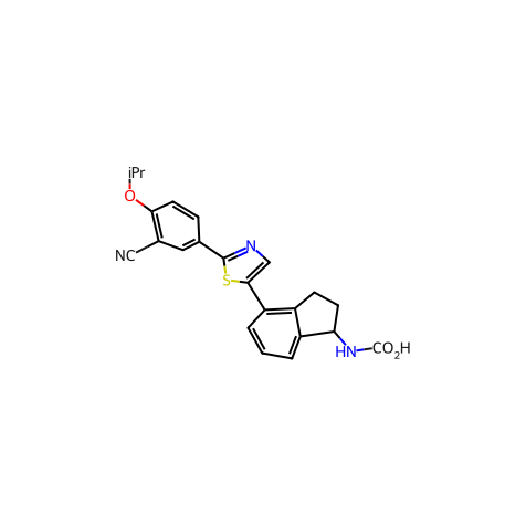 CC(C)Oc1ccc(-c2ncc(-c3cccc4c3CCC4NC(=O)O)s2)cc1C#N